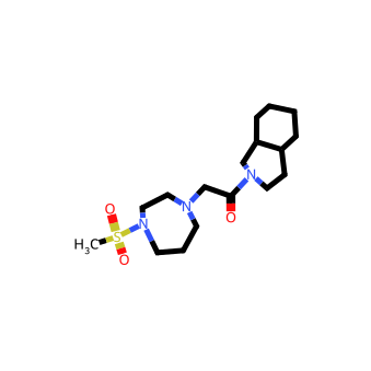 CS(=O)(=O)N1CCCN(CC(=O)N2CCC3CCCCC3C2)CC1